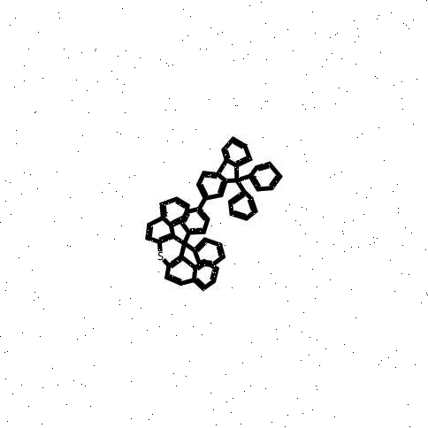 c1ccc(C2(c3ccccc3)c3ccccc3-c3ccc(-c4ccc(C5(c6ccccc6)c6c(ccc7ccccc67)Sc6ccc7ccccc7c65)cc4)cc32)cc1